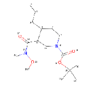 CCCC1CCN(C(=O)OC(C)(C)C)CC1C(=O)N(C)OC